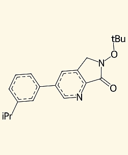 CC(C)c1cccc(-c2cnc3c(c2)CN(OC(C)(C)C)C3=O)c1